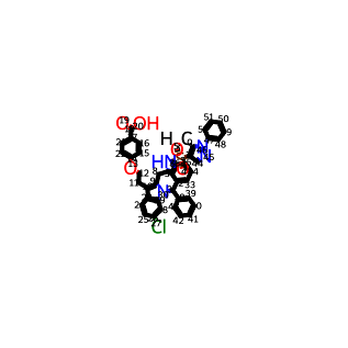 Cc1c(S(=O)(=O)NCCc2c(CCOc3ccc(C(=O)O)cc3)c3ccc(Cl)cc3n2C(c2ccccc2)c2ccccc2)cnn1-c1ccccc1